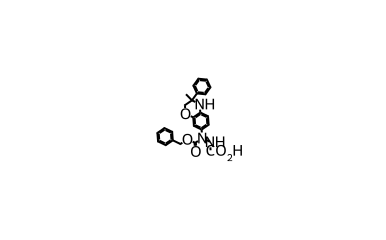 CC1(c2ccccc2)COc2cc(N(NC(=O)O)C(=O)OCc3ccccc3)ccc2N1